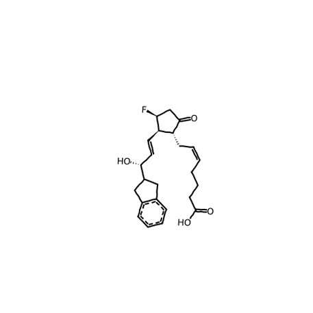 O=C(O)CCC/C=C\C[C@H]1C(=O)C[C@H](F)[C@@H]1/C=C/[C@@H](O)C1Cc2ccccc2C1